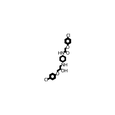 O=C(COc1ccc(Cl)cc1)N[C@H]1CC[C@@H](NC[C@@H](O)COc2ccc(Cl)cc2)CC1